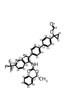 C[C@@H](OC(=O)Nc1c(-c2ccc(-c3ccc(C4(OC=O)CC4)cc3)cc2)sc2nc(C(F)(F)F)ccc12)c1ccccc1